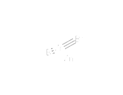 [B]#[Zr]#[B].[Zn]